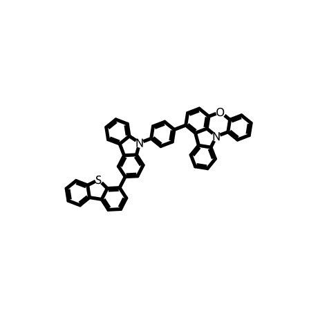 c1ccc2c(c1)Oc1ccc(-c3ccc(-n4c5ccccc5c5cc(-c6cccc7c6sc6ccccc67)ccc54)cc3)c3c4ccccc4n-2c13